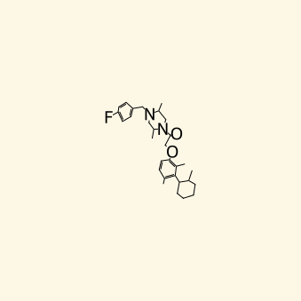 Cc1ccc(OCC(=O)N2CC(C)N(Cc3ccc(F)cc3)CC2C)c(C)c1C1CCCCC1C